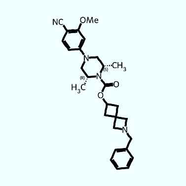 COc1cc(N2C[C@@H](C)N(C(=O)OC3CC4(C3)CN(Cc3ccccc3)C4)[C@@H](C)C2)ccc1C#N